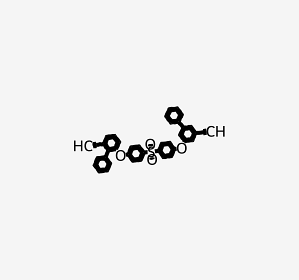 C#Cc1cc(Oc2ccc(S(=O)(=O)c3ccc(Oc4cccc(C#C)c4-c4ccccc4)cc3)cc2)cc(-c2ccccc2)c1